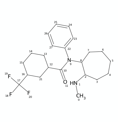 CNC1CCCCCC1N(C(=O)C1CCCC(C(F)(F)F)C1)c1ccccc1